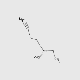 C#CCC[C@@H](O)CC